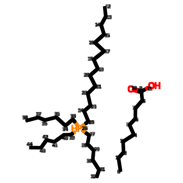 CCCCCCCCCC(=O)O.CCCCCCCCCCCCCC[PH](CCCCCC)(CCCCCC)CCCCCC